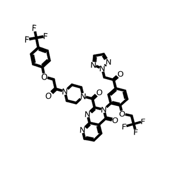 O=C(Cn1nccn1)c1ccc(OCC(F)(F)F)c(-n2c(C(=O)N3CCN(C(=O)COc4ccc(C(F)(F)F)cc4)CC3)nc3ncccc3c2=O)c1